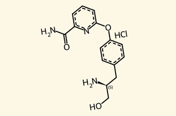 Cl.NC(=O)c1cccc(Oc2ccc(C[C@H](N)CO)cc2)n1